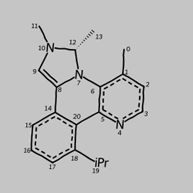 Cc1ccnc2c1N1C(=CN(C)[C@@H]1C)c1cccc(C(C)C)c1-2